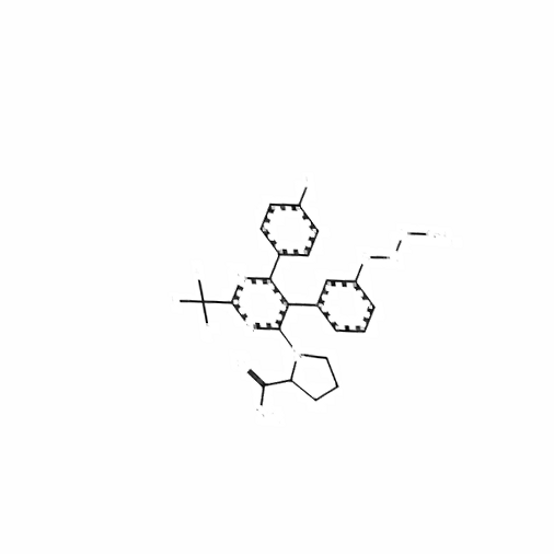 NOOSc1cccc(-c2c(-c3ccc(F)cc3)nc(C(F)(F)F)nc2N2CCCC2C(N)=O)c1